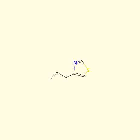 CC[CH]c1cscn1